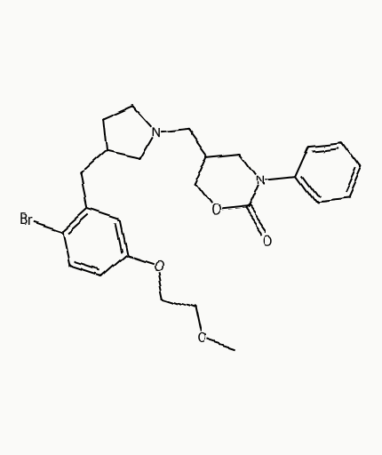 COCCOc1ccc(Br)c(CC2CCN(CC3COC(=O)N(c4ccccc4)C3)C2)c1